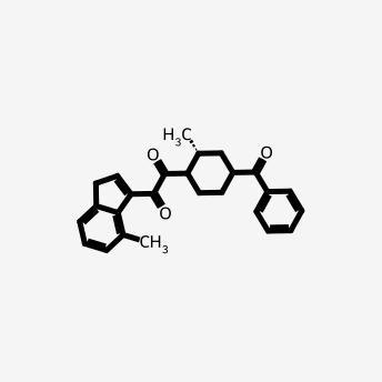 Cc1cccc2c1C(C(=O)C(=O)C1CCC(C(=O)c3ccccc3)C[C@H]1C)=CC2